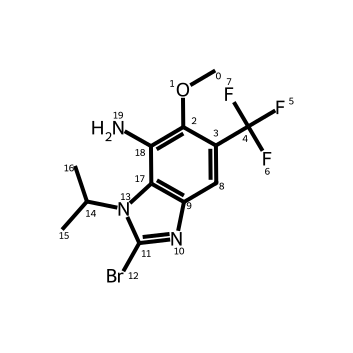 COc1c(C(F)(F)F)cc2nc(Br)n(C(C)C)c2c1N